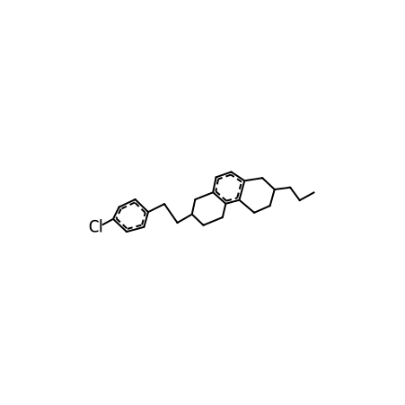 CCCC1CCc2c(ccc3c2CCC(CCc2ccc(Cl)cc2)C3)C1